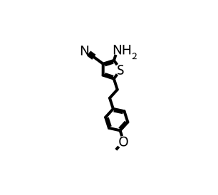 COc1ccc(CCc2cc(C#N)c(N)s2)cc1